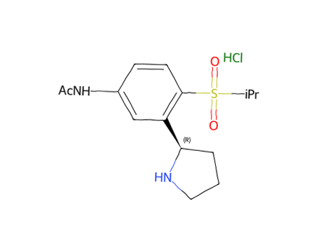 CC(=O)Nc1ccc(S(=O)(=O)C(C)C)c([C@H]2CCCN2)c1.Cl